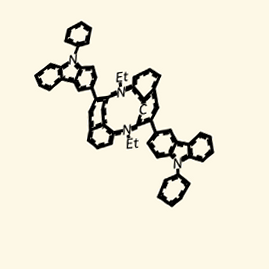 CCn1c2cc3c(cccc3n(CC)c3cc4c(cccc41)cc3-c1ccc3c(c1)c1ccccc1n3-c1ccccc1)cc2-c1ccc2c(c1)c1ccccc1n2-c1ccccc1